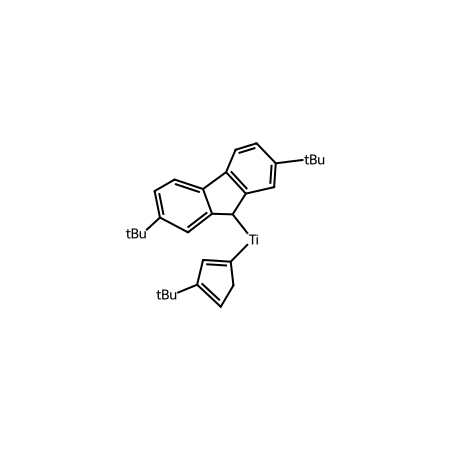 CC(C)(C)C1=CC[C]([Ti][CH]2c3cc(C(C)(C)C)ccc3-c3ccc(C(C)(C)C)cc32)=C1